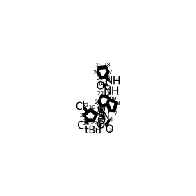 CC(C)(C)OC(=O)CN(c1cccc2c(NC(=O)Nc3ccccc3)cccc12)S(=O)(=O)c1cc(Cl)cc(Cl)c1